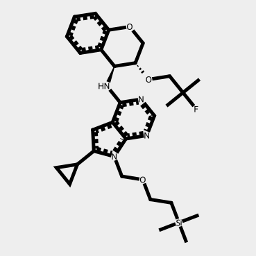 CC(C)(F)CO[C@H]1COc2ccccc2[C@@H]1Nc1ncnc2c1cc(C1CC1)n2COCC[Si](C)(C)C